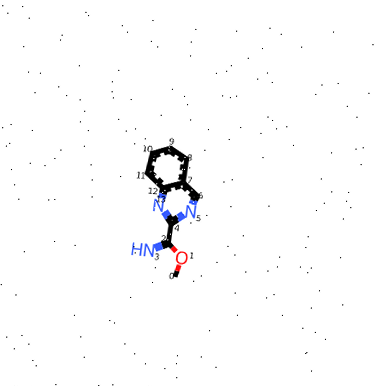 COC(=N)c1ncc2ccccc2n1